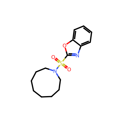 O=S(=O)(c1nc2ccccc2o1)N1CCCCCCCC1